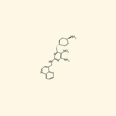 Nc1nc(NCc2ccnc3ccccc23)nc(C[C@H]2CC[C@H](N)CC2)c1[N+](=O)[O-]